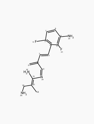 C=C(C=Cc1c(F)ccc(N)c1F)/C=N\C(N)=C(/C)CN